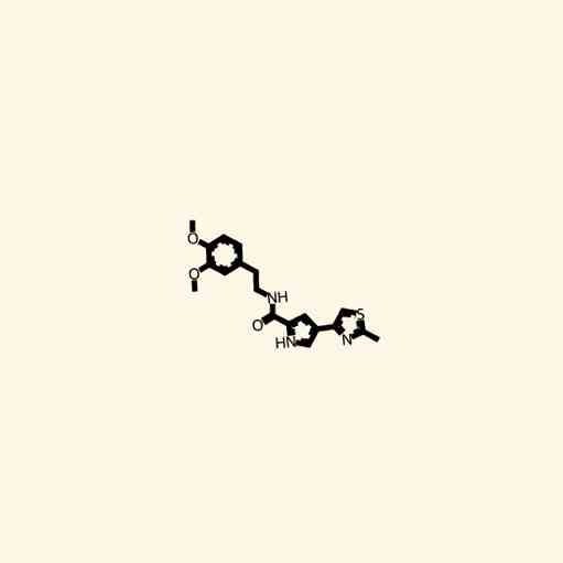 COc1ccc(CCNC(=O)c2cc(-c3csc(C)n3)c[nH]2)cc1OC